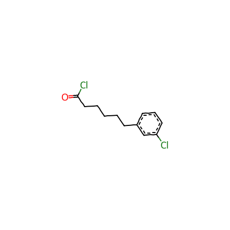 O=C(Cl)CCCCCc1cccc(Cl)c1